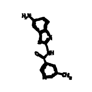 Cc1cncc(C(=O)Nc2nc3ccc(N)cc3s2)c1